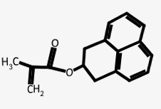 C=C(C)C(=O)OC1Cc2cccc3cccc(c23)C1